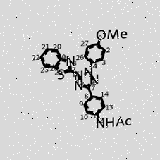 COc1ccc(-n2nc(-c3ccc(NC(C)=O)cc3)n[n+]2-c2nc3ccccc3s2)cc1